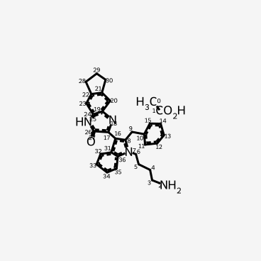 CC(=O)O.NCCCCn1c(Cc2ccccc2)c(-c2nc3cc4c(cc3[nH]c2=O)CCC4)c2ccccc21